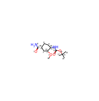 CO[C@H]1C[C@H](C(N)=O)CC[C@H]1NC(=O)OC(C)(C)C